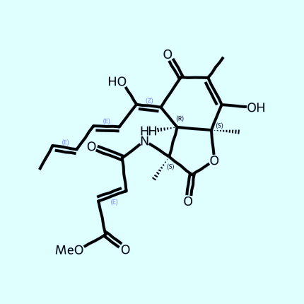 C/C=C/C=C/C(O)=C1/C(=O)C(C)=C(O)[C@@]2(C)OC(=O)[C@@](C)(NC(=O)/C=C/C(=O)OC)[C@@H]12